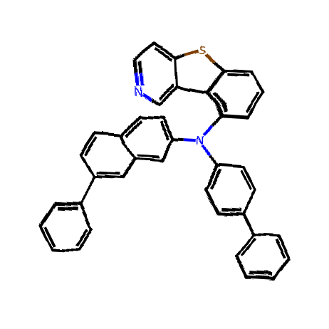 c1ccc(-c2ccc(N(c3ccc4ccc(-c5ccccc5)cc4c3)c3cccc4sc5ccncc5c34)cc2)cc1